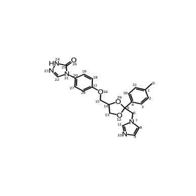 Cc1ccc(C2(Cn3ccnc3)OCC(COc3ccc(-n4cn[nH]c4=O)cc3)O2)cc1